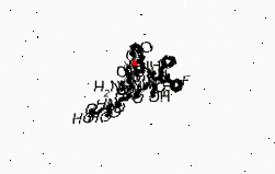 C[C@@H](C(=O)N[C@@H](CC(N)=O)C(=O)N[C@@H](CCN(C(=O)CO)[C@@H](c1cc(-c2cc(F)ccc2F)cn1Cc1ccccc1)C(C)(C)C)C(=O)NCCC(=O)N[C@H](CCC(=O)O)C(=O)O)N(C)C(=O)CNC(=O)CN1C(=O)C=CC1=O